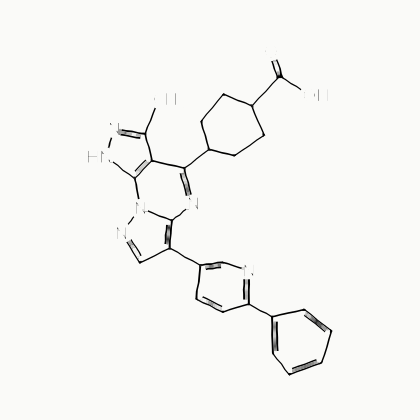 Cc1n[nH]c2c1c(C1CCC(C(=O)O)CC1)nc1c(-c3ccc(-c4ccccc4)nc3)cnn12